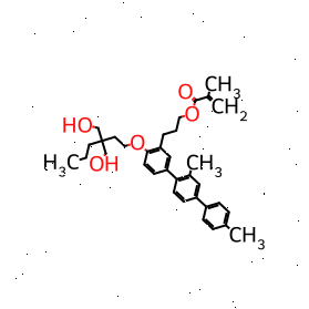 C=C(C)C(=O)OCCCc1cc(-c2ccc(-c3ccc(C)cc3)cc2C)ccc1OCCC(CO)(CO)CCC